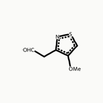 COc1csnc1C[C]=O